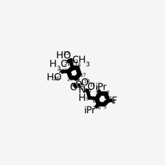 CC(C)c1cc(F)cc(C(C)C)c1CC(=O)NS(=O)(=O)c1ccc(C(C)(C)O)c(CO)c1